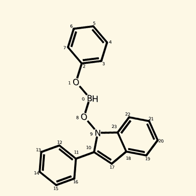 B(Oc1ccccc1)On1c(-c2ccccc2)cc2ccccc21